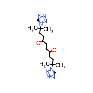 CC(C)(CCC(=O)CCC(=O)CCC(C)(C)n1cnnn1)n1cnnn1